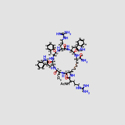 CC(=O)N[C@@H](CCCNC(=N)N)C(=O)N[C@H]1CSSC[C@@H](C(N)=O)NC(=O)[C@H](Cc2c[nH]c3ccccc23)NC(=O)[C@H](CCCNC(=N)N)NC(=O)[C@@H](Cc2ccccc2)NC(=O)[C@H](Cc2c[nH]c3ccccc23)NC(=O)[C@@H](C)NC1=O